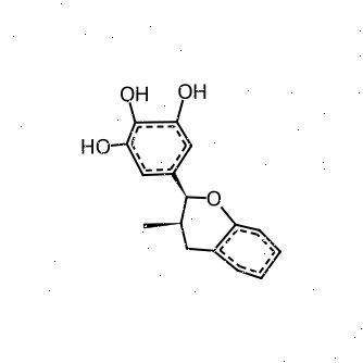 C[C@@H]1Cc2ccccc2O[C@@H]1c1cc(O)c(O)c(O)c1